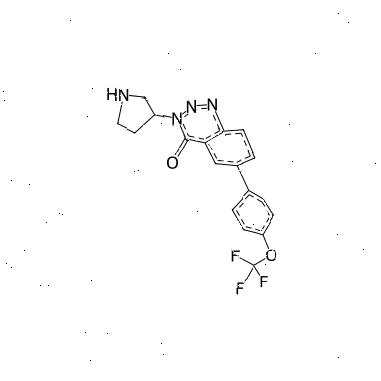 O=c1c2cc(-c3ccc(OC(F)(F)F)cc3)ccc2nnn1C1CCNC1